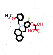 COc1ccccc1CNC1CCc2ccccc2C1Cc1ccc(F)cc1.O=C(O)C(=O)O